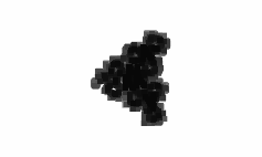 CC1(C)c2ccccc2-c2c(-c3nc(-c4cccc5c4c4ccccc4n5-c4ccccc4)nc(-c4cccc5c4c4ccccc4n5-c4ccccc4)n3)cccc21